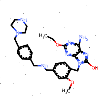 CCOc1nc(N)c2nc(O)n(Cc3ccc(CNCc4ccc(CN5CCNCC5)cc4)cc3OC)c2n1